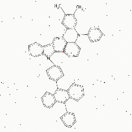 Cc1cc(-c2ccc3c(c2)c2ccccc2n3-c2ccc(-c3c4ccccc4c(-c4ccccc4)c4ccccc34)cc2)c(N(c2ccccc2)c2ccccc2)cc1C